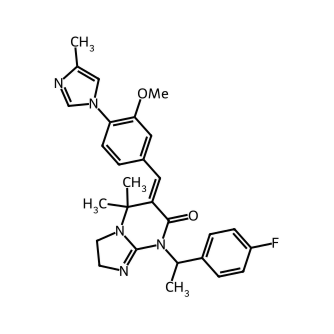 COc1cc(/C=C2/C(=O)N(C(C)c3ccc(F)cc3)C3=NCCN3C2(C)C)ccc1-n1cnc(C)c1